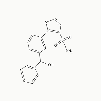 NS(=O)(=O)c1ccsc1-c1cccc(C(O)c2ccccc2)c1